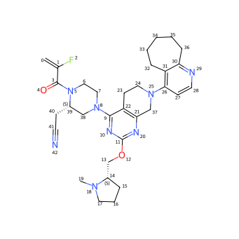 C=C(F)C(=O)N1CCN(c2nc(OC[C@@H]3CCCN3C)nc3c2CCN(c2ccnc4c2CCCCC4)C3)C[C@@H]1CC#N